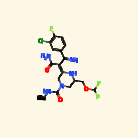 CC(C)(C)NC(=O)N1C/C(=C(/C(=N)c2ccc(F)c(Cl)c2)C(N)=O)NC(COC(F)F)C1